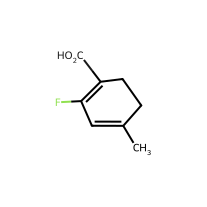 CC1=CC(F)=C(C(=O)O)CC1